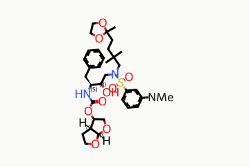 CNc1cccc(S(=O)(=O)N(C[C@@H](O)[C@H](Cc2ccccc2)NC(=O)OC2CO[C@H]3OCC[C@@H]23)CC(C)(C)CCC2(C)OCCO2)c1